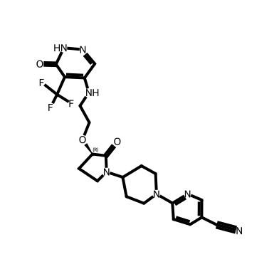 N#Cc1ccc(N2CCC(N3CC[C@@H](OCCNc4cn[nH]c(=O)c4C(F)(F)F)C3=O)CC2)nc1